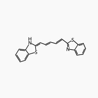 C(=CC=C1Nc2ccccc2S1)C=Cc1nc2ccccc2s1